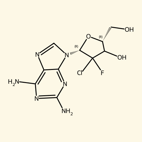 Nc1nc(N)c2ncn([C@@H]3O[C@H](CO)C(O)C3(F)Cl)c2n1